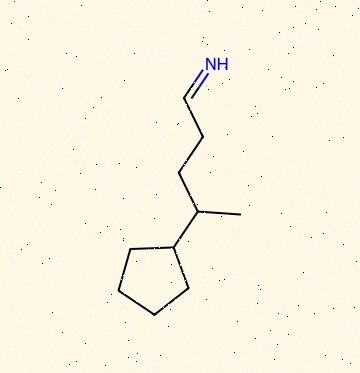 CC(CCC=N)C1CCCC1